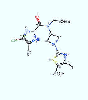 CCc1[nH]c(C(=O)N(COC)C2CN(c3nc(C)c(C(=O)O)s3)C2)nc1Cl